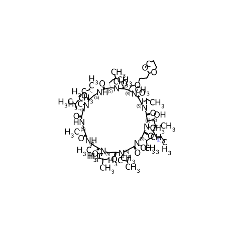 C/C=C/C[C@@H](C)[C@@H](O)[C@H]1C(=O)N[C@@H](CC)C(=O)N(C)[C@H](COCCC2OCCCO2)C(=O)N(C)[C@@H](CC(C)C)C(=O)N[C@@H](C(C)C)C(=O)N(C)[C@@H](CC(C)C)C(=O)N[C@@H](C)C(=O)N[C@H](C)C(=O)N(C)[C@@H](CC(C)C)C(=O)N(C)[C@@H](CC(C)C)C(=O)N(C)[C@@H](C(C)C)C(=O)N1C